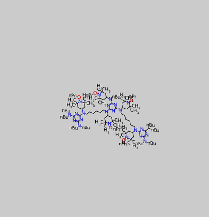 CCCCC(CCCC)c1nc(N(CCCC)CCCC)nc(N(CCCCCCN(c2nc(N(CCCC)C3CC(C)(C)N(OCCC)C(C)(C)C3)nc(N(CCCCCCN(c3nc(N(CCCC)CCCC)nc(N(CCCC)CCCC)n3)C3CC(C)(C)N(OCCC)C(C)(C)C3)C3CC(C)(C)N(OCCC)C(C)(C)C3)n2)C2CC(C)(C)N(OCCC)C(C)(C)C2)C2CC(C)(C)N(OCCC)C(C)(C)C2)n1